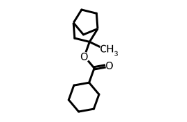 CC1(OC(=O)C2CCCCC2)CC2CCC1C2